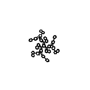 C1=CC2C(C=C1c1cccc3ccccc13)c1cc(N(c3cc(N(c4ccc5c(c4)c4c(n5-c5ccc(-c6ccccc6)cc5)C=CC(c5cccc6ccccc56)C4)c4cccc5ccccc45)cc(N(c4ccc5c(c4)c4c(n5-c5ccc(-c6ccccc6)cc5)CCC(c5cccc6ccccc56)=C4)c4cccc5ccccc45)c3)c3cccc4ccccc34)ccc1N2c1ccc(-c2ccccc2)cc1